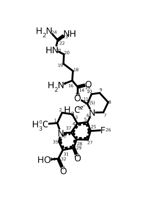 CC1CCc2c(N3CCCC[C@]3(C)OC(=O)C(N)CCCNC(=N)N)c(F)cc3c(=O)c(C(=O)O)cn1c23